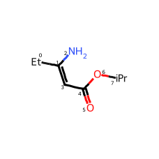 CCC(N)=CC(=O)OC(C)C